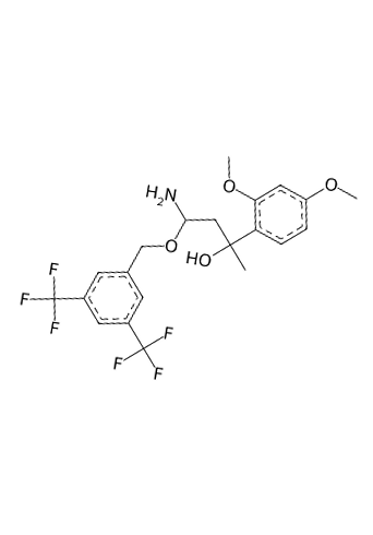 COc1ccc(C(C)(O)CC(N)OCc2cc(C(F)(F)F)cc(C(F)(F)F)c2)c(OC)c1